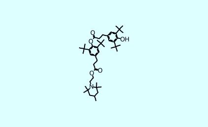 CC1CC(C)(C)N(CCOC(=O)CCc2cc(C(C)(C)C)c(OC(=O)CCc3cc(C(C)(C)C)c(O)c(C(C)(C)C)c3)c(C(C)(C)C)c2)C(C)(C)C1